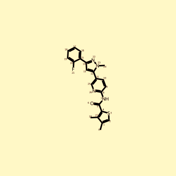 Cc1csc(C(=O)Nc2ccc(-c3cc(-c4ccccc4F)nn3C)cn2)c1C